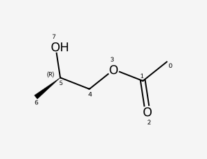 CC(=O)OC[C@@H](C)O